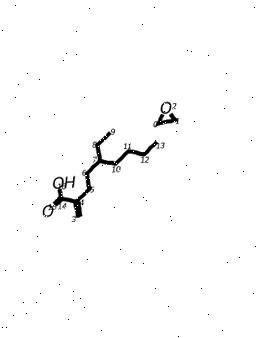 C1CO1.C=C(CCC(CC)CCCC)C(=O)O